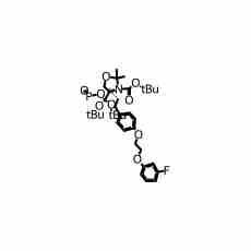 CC(C)(C)OC(=O)N1C(C)(C)OC[C@]1(CCc1ccc(OCCOc2cccc(F)c2)cc1)C(OP=O)(OC(C)(C)C)OC(C)(C)C